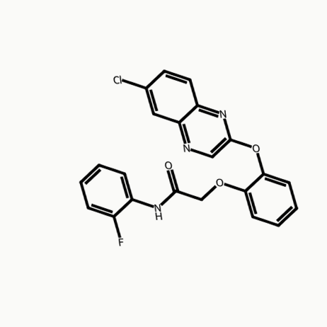 O=C(COc1ccccc1Oc1cnc2cc(Cl)ccc2n1)Nc1ccccc1F